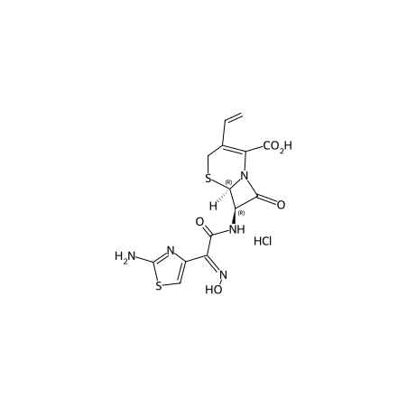 C=CC1=C(C(=O)O)N2C(=O)[C@@H](NC(=O)C(=NO)c3csc(N)n3)[C@H]2SC1.Cl